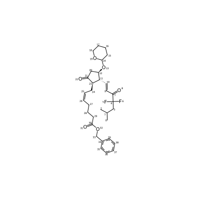 CC(C)CC(F)(F)C(=O)/C=C/[C@H]1[C@H](OC2CCCCO2)CC(=O)[C@@H]1C/C=C\CCCC(=O)OCc1ccccc1